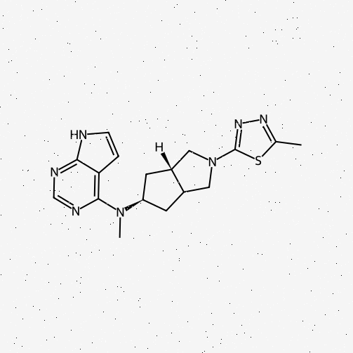 Cc1nnc(N2CC3C[C@@H](N(C)c4ncnc5[nH]ccc45)C[C@@H]3C2)s1